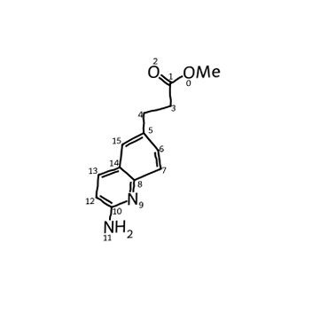 COC(=O)CCc1ccc2nc(N)ccc2c1